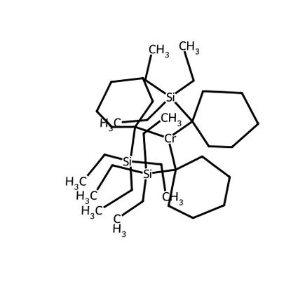 CC[Si](CC)(CC)[C]1([Cr]([C]2([Si](CC)(CC)CC)CCCCC2)[C]2([Si](CC)(CC)CC)CCCCC2)CCCCC1